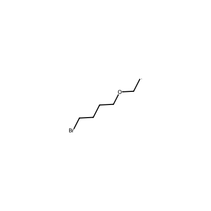 [CH2]COCCCCBr